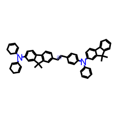 CC1(C)c2cc(/C=C/c3ccc(N(c4ccccc4)c4ccc5c(c4)C(C)(C)c4ccccc4-5)cc3)ccc2-c2ccc(N(C3=CCCC=C3)C3=CC=CCC3)cc21